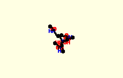 O=C(NCCCCc1ccc(CCCCN(C[C@H](O)c2ccc(OCc3ccccc3)c(NS(=O)(=O)CCc3ccccc3)c2)C[C@H](O)c2ccc(OCc3ccccc3)c(NS(=O)(=O)CCc3ccccc3)c2)cc1)OCc1ccccc1